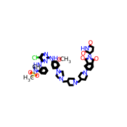 COc1cc(N2CCN(CC3CCN(CC4CCN(c5ccc6c(c5)C(=O)N(C5CCC(=O)NC5=O)C6=O)CC4)CC3)CC2)ccc1Nc1ncc(Cl)c(Nc2ccccc2N(C)S(C)(=O)=O)n1